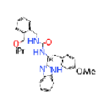 COc1ccc(C[C@@H](NC(=O)NCc2ccccc2COC(C)C)c2nc3ccccc3[nH]2)cc1